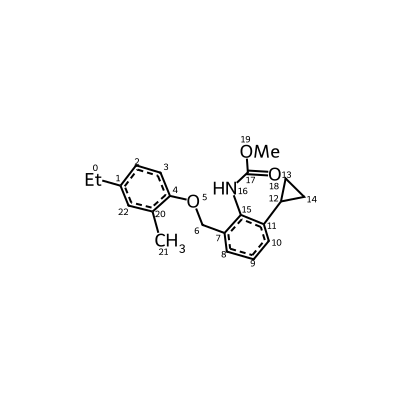 CCc1ccc(OCc2cccc(C3CC3)c2NC(=O)OC)c(C)c1